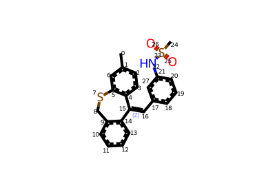 Cc1ccc2c(c1)SCc1ccccc1/C2=C/c1cccc(NS(C)(=O)=O)c1